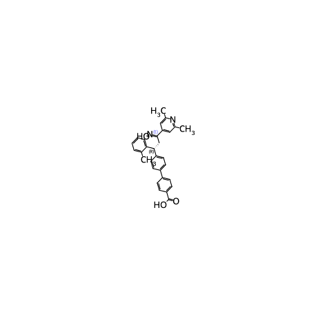 Cc1cc(/C(C[C@H](c2ccc(-c3ccc(C(=O)O)cc3)cc2)c2ccccc2C)=N/O)cc(C)n1